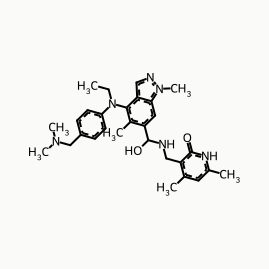 CCN(c1ccc(CN(C)C)cc1)c1c(C)c(C(O)NCc2c(C)cc(C)[nH]c2=O)cc2c1cnn2C